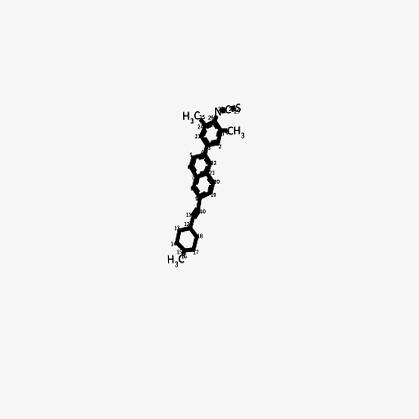 Cc1cc(-c2ccc3cc(C#CC4CCC(C)CC4)ccc3c2)cc(C)c1N=C=S